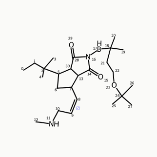 CCC(C)(C)C1CC(/C=C\CNC)C2C(=O)N(BC(C)(C)CCOC(C)(C)C)C(=O)C21